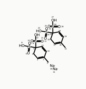 CC1=CCC(S(=O)(=O)O)(S(=O)(=O)O)C=C1.CC1=CCC(S(=O)(=O)O)(S(=O)(=O)O)C=C1.[Na].[Na]